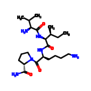 CC[C@H](C)[C@H](NC(=O)[C@@H](N)C(C)C)C(=O)N[C@@H](CCCCN)C(=O)N1CCC[C@H]1C(N)=O